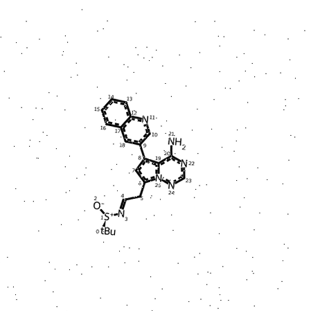 CC(C)(C)[S@@+]([O-])N=CCc1cc(-c2cnc3ccccc3c2)c2c(N)ncnn12